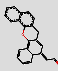 O=CC=C1C=C2Cc3ccc4ccccc4c3OC2=C2C=CC=CC12